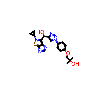 CC(C)(O)COc1ccc(-n2cc(C(O)c3c4ncnc-4sn3C3CC3)nn2)cc1